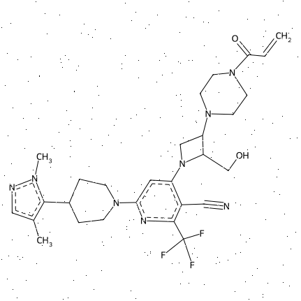 C=CC(=O)N1CCN(C2CN(c3cc(N4CCC(c5c(C)cnn5C)CC4)nc(C(F)(F)F)c3C#N)C2CO)CC1